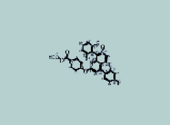 CC(C)(C)OC(=O)N1CCC(Oc2cc(-c3ccc(F)cc3F)c3cc[n+]([O-])c(-c4c(F)cccc4F)c3n2)CC1